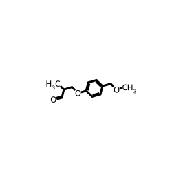 COCc1ccc(OCC(C)C=O)cc1